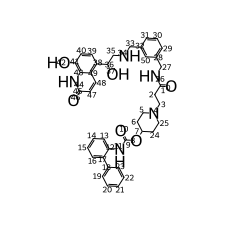 O=C(CCN1CCC(OC(=O)Nc2ccccc2-c2ccccc2)CC1)NCc1cccc(CNCC(O)c2ccc(O)c3[nH]c(=O)ccc23)c1